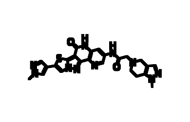 Cn1cc(-c2cn3nc4c5ncc(NC(=O)CN6CCc7c(cnn7C)C6)cc5[nH]c(=O)c4c3s2)cn1